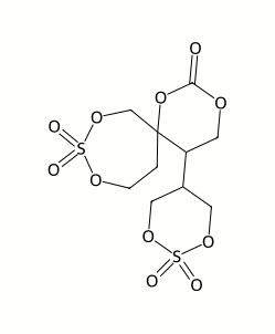 O=C1OCC(C2COS(=O)(=O)OC2)C2(CCOS(=O)(=O)OC2)O1